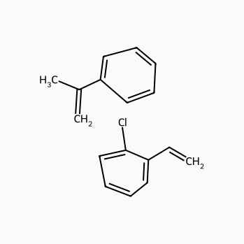 C=C(C)c1ccccc1.C=Cc1ccccc1Cl